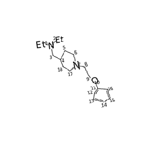 CCN(CC)CC1CCN(CCOc2ccccc2)CC1